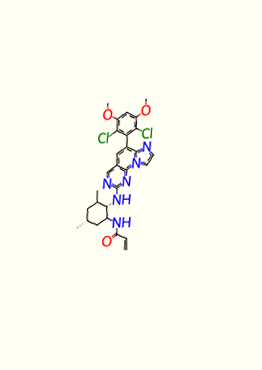 C=CC(=O)NC1C[C@H](C)CC(C)[C@@H]1Nc1ncc2cc(-c3c(Cl)c(OC)cc(OC)c3Cl)c3nccn3c2n1